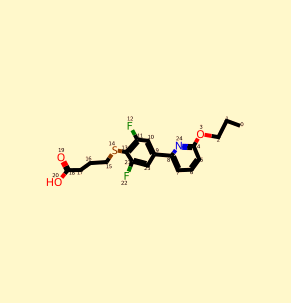 CCCOc1cccc(-c2cc(F)c(SCCCC(=O)O)c(F)c2)n1